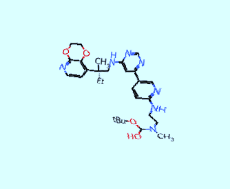 CC[C@](C)(CNc1cc(-c2ccc(NCCN(C)C(O)OC(C)(C)C)nc2)ncn1)c1ccnc2c1OCCO2